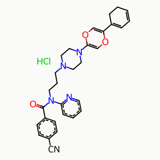 Cl.N#Cc1ccc(C(=O)N(CCCN2CCN(C3=COC(C4=CC=CCC4)=CO3)CC2)c2ccccn2)cc1